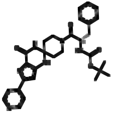 CC(C)(C)OC(=O)N[C@@H](Cc1ccccc1)C(=O)N1CCC2(CC1)NC(=O)c1sc(-c3ccncc3)cc1N2